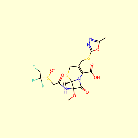 CO[C@@]1(NC(=O)C[S+]([O-])C(F)(F)CF)C(=O)N2C(C(=O)O)=C(CSc3nnc(C)o3)CS[C@H]21